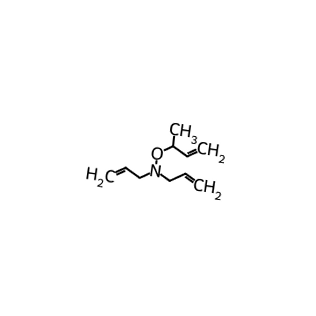 C=CCN(CC=C)OC(C)C=C